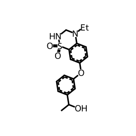 CCN1CNS(=O)(=O)c2cc(Oc3cccc(C(C)O)c3)ccc21